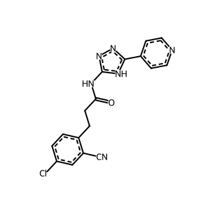 N#Cc1cc(Cl)ccc1CCC(=O)Nc1nnc(-c2ccncc2)[nH]1